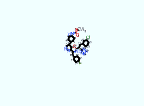 COC(=O)Nc1ccc(-c2cnnc(C(Cc3ccc(F)cc3)NC(=O)/C=C/c3cc(Cl)ccc3-n3cnnn3)c2)cc1